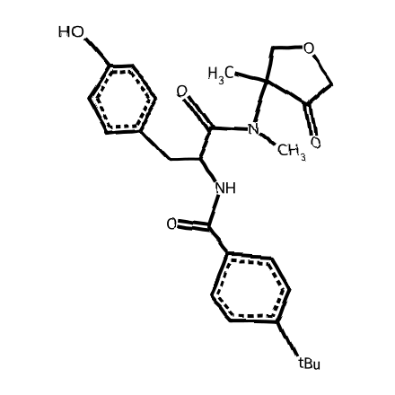 CN(C(=O)C(Cc1ccc(O)cc1)NC(=O)c1ccc(C(C)(C)C)cc1)C1(C)COCC1=O